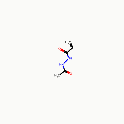 C=CC(=O)NNC(C)=O